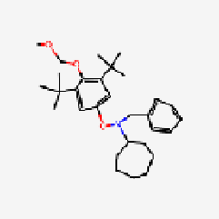 COCOc1c(C(C)(C)C)cc(ON(Cc2ccccc2)C2CCCCCC2)cc1C(C)(C)C